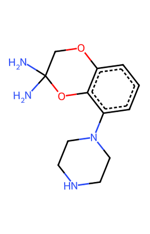 NC1(N)COc2cccc(N3CCNCC3)c2O1